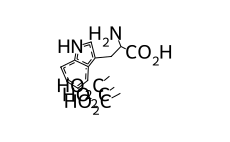 CC(=O)O.CC(=O)O.CC(=O)O.NC(Cc1c[nH]c2ccccc12)C(=O)O